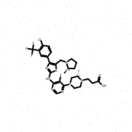 C[C@@H]1CCCN1Cc1sc(Nc2ncnc(N3CCN(CCC(=O)O)[C@@H](C)C3)c2F)nc1-c1ccc(Cl)c(C(F)(F)F)c1